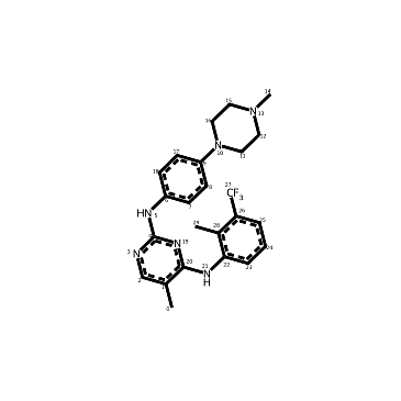 Cc1cnc(Nc2ccc(N3CCN(C)CC3)cc2)nc1Nc1cccc(C(F)(F)F)c1C